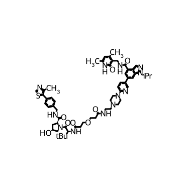 Cc1cc(C)c(CNC(=O)c2cc(-c3ccc(N4CCN(CCNC(=O)CCOCCC(=O)NC(C(=O)N5C[C@H](O)C[C@H]5C(=O)NCc5ccc(-c6scnc6C)cc5)C(C)(C)C)CC4)nc3)cc3c2cnn3C(C)C)c(=O)[nH]1